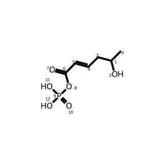 CC(O)CC=CC(=O)OP(=O)(O)O